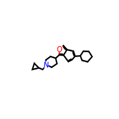 c1cc2c(C3CCN(CC4CC4)CC3)occ2cc1C1CCCCC1